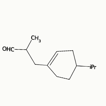 CC(C=O)CC1=CCC(C(C)C)CC1